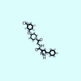 O=C(NCC(=O)N1CCC(Oc2cccc(Cl)c2)CC1)c1cc(-c2ccccc2)[nH]n1